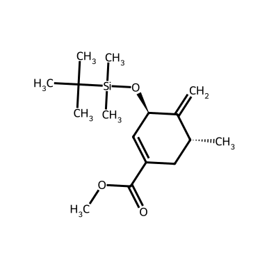 C=C1[C@H](C)CC(C(=O)OC)=C[C@H]1O[Si](C)(C)C(C)(C)C